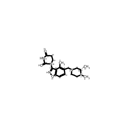 Cc1c(CN2CCN(C)[C@@H](C)C2)ccc2onc(N3CCC(=O)NC3=O)c12